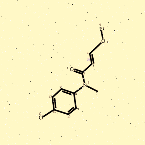 CCO/C=C/C(=O)N(C)c1ccc(Cl)cc1